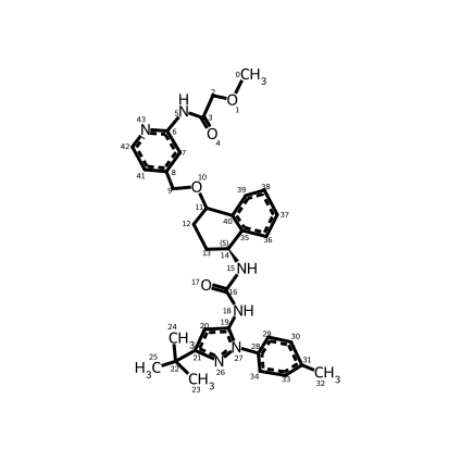 COCC(=O)Nc1cc(COC2CC[C@H](NC(=O)Nc3cc(C(C)(C)C)nn3-c3ccc(C)cc3)c3ccccc32)ccn1